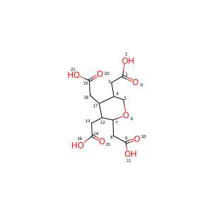 O=C(O)CC1COC(CC(=O)O)C(CC(=O)O)C1CC(=O)O